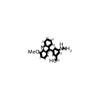 COc1cccc2c(-c3cc(CO)cc(NN)c3)c3ccccc3nc12